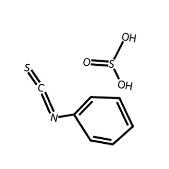 O=S(O)O.S=C=Nc1ccccc1